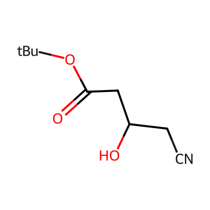 CC(C)(C)OC(=O)CC(O)CC#N